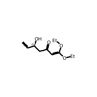 C=C[C@@H](O)CC(=O)C=C(OCC)OCC